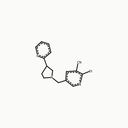 CCc1ncc(CN2CCC(c3ccccn3)C2)cc1C#N